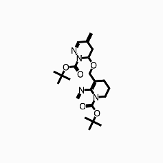 C=NC1=C(COC2CC(=C)C=NN2C(=O)OC(C)(C)C)CCCN1C(=O)OC(C)(C)C